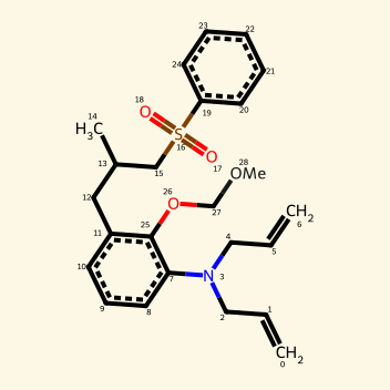 C=CCN(CC=C)c1cccc(CC(C)CS(=O)(=O)c2ccccc2)c1OCOC